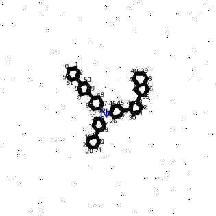 c1ccc(-c2ccc(-c3ccc(N(c4ccc(-c5ccccc5)cc4)c4ccc(-c5cccc(-c6ccc7ccccc7c6)c5)cc4)cc3)cc2)cc1